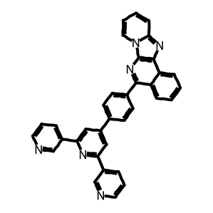 c1cncc(-c2cc(-c3ccc(-c4nc5c(nc6ccccn65)c5ccccc45)cc3)cc(-c3cccnc3)n2)c1